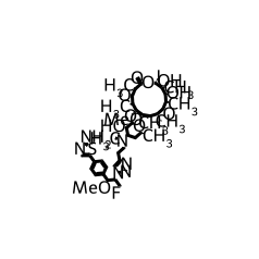 CO[C@H](c1ccc(-c2cnc(N)s2)cc1)C(CF)n1cc(CCN(C)[C@H]2C[C@@H](C)O[C@@H](O[C@@H]3[C@@H](C)C(=O)[C@@H](C)C(=O)O[C@H](I)[C@@](C)(O)[C@H](O)[C@@H](C)C(=O)[C@H](C)C[C@@]3(C)OC)[C@@H]2O)nn1